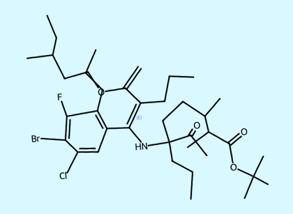 C=C(OCCC(C)CC)/C(CCC)=C(/NC(CCC)(CCC(C)C(C)C(=O)OC(C)(C)C)C(C)=O)c1cc(Cl)c(Br)c(F)c1CCC